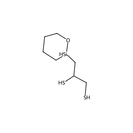 SCC(S)C[SiH]1CCCCO1